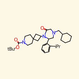 CC(C)c1ccccc1C1CN(CC2CCCCC2)CC(=O)N1C1CC2(CCN(C(=O)OC(C)(C)C)CC2)C1